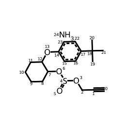 C#CCOS(=O)OC1CCCCC1Oc1ccc(C(C)(C)C)cc1.N